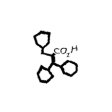 O=C(O)C(CC1CCCCC1)=C(C1CCCCC1)C1CCCCC1